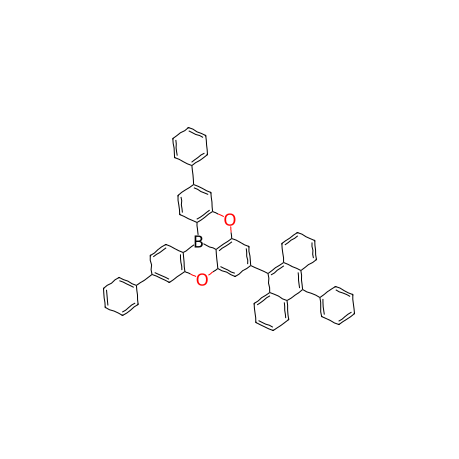 c1ccc(-c2ccc3c(c2)Oc2cc(-c4c5ccccc5c(-c5ccccc5)c5ccccc45)cc4c2B3c2ccc(-c3ccccc3)cc2O4)cc1